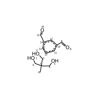 CC(CO)(CO)CO.O=Cc1cccc(C=O)c1